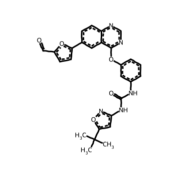 CC(C)(C)c1cc(NC(=O)Nc2cccc(Oc3ncnc4ccc(-c5ccc(C=O)o5)cc34)c2)no1